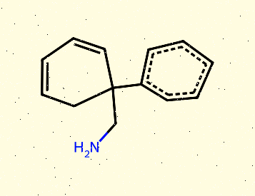 NCC1(c2ccccc2)C=CC=CC1